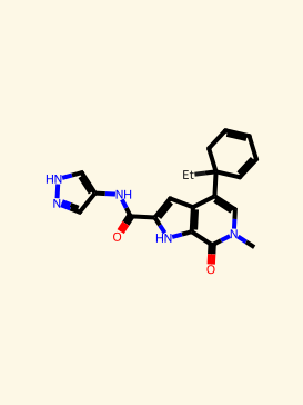 CCC1(c2cn(C)c(=O)c3[nH]c(C(=O)Nc4cn[nH]c4)cc23)C=CC=CC1